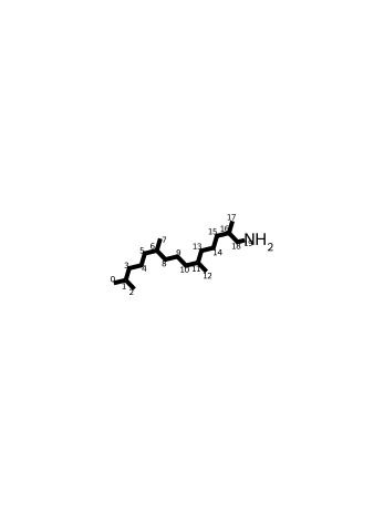 CC(C)CCCC(C)CCCC(C)CCCC(C)CN